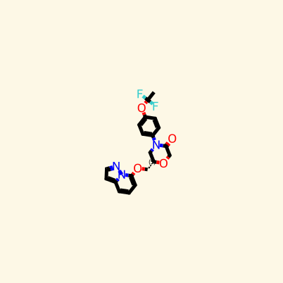 CC(F)(F)Oc1ccc(N2C[C@@H](COc3cccc4ccnn34)OCC2=O)cc1